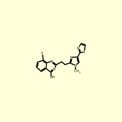 CCCc1nc(CCc2nc(-c3nccs3)cn2C)nc2c(F)cccc12